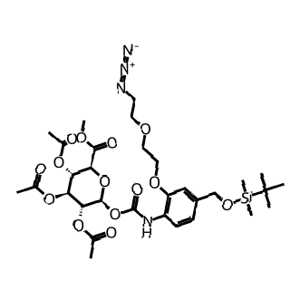 COC(=O)[C@H]1O[C@@H](OC(=O)Nc2ccc(CO[Si](C)(C)C(C)(C)C)cc2OCCOCCN=[N+]=[N-])[C@H](OC(C)=O)[C@@H](OC(C)=O)[C@@H]1OC(C)=O